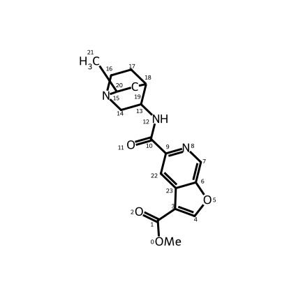 COC(=O)c1coc2cnc(C(=O)NC3CN4CCC3CC4C)cc12